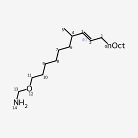 CCCCCCCCC/C=C/C(C)CCCCCCOCN